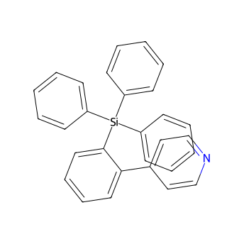 c1ccc([Si](c2ccccc2)(c2ccccc2)c2ccccc2-c2ccncc2)cc1